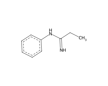 CCC(=N)Nc1ccccc1